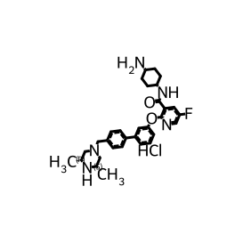 C[C@@H]1CN(Cc2ccc(-c3cccc(Oc4ncc(F)cc4C(=O)NC4CCC(N)CC4)c3)cc2)C[C@H](C)N1.Cl